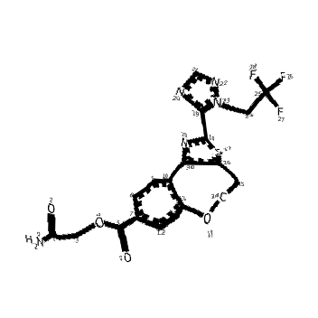 NC(=O)COC(=O)c1ccc2c(c1)OCCc1sc(-c3ncnn3CC(F)(F)F)nc1-2